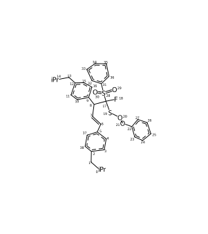 CC(C)Cc1ccc(/C=C/C(c2ccc(CC(C)C)cc2)C(F)(SOOc2ccccc2)S(=O)(=O)c2ccccc2)cc1